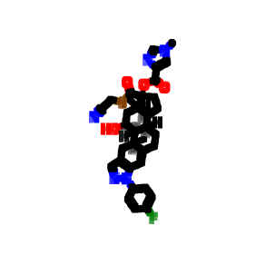 Cn1cnc(C(=O)O[C@]2(C(=O)SCC#N)CC[C@H]3[C@@H]4CCC5=Cc6c(cnn6-c6ccc(F)cc6)C[C@]5(C)[C@H]4[C@@H](O)C[C@@]32C)c1